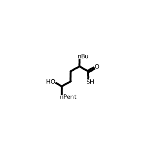 CCCCCC(O)CCC(CCCC)C(=O)S